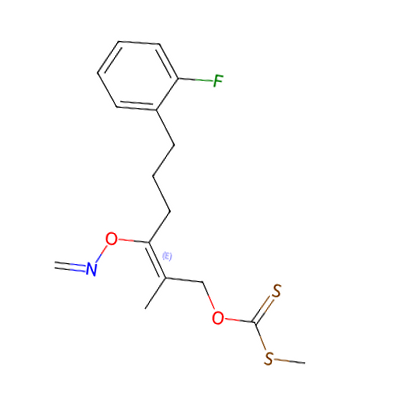 C=NO/C(CCCc1ccccc1F)=C(\C)COC(=S)SC